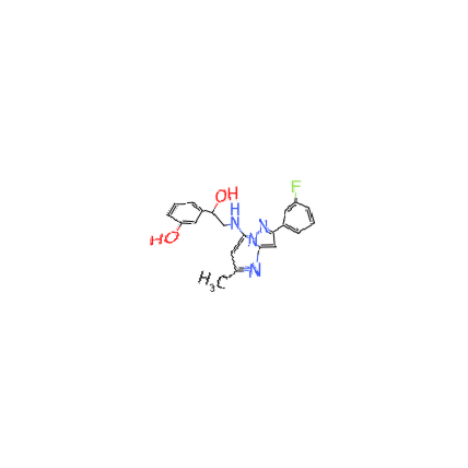 Cc1cc(NCC(O)c2cccc(O)c2)n2nc(-c3cccc(F)c3)cc2n1